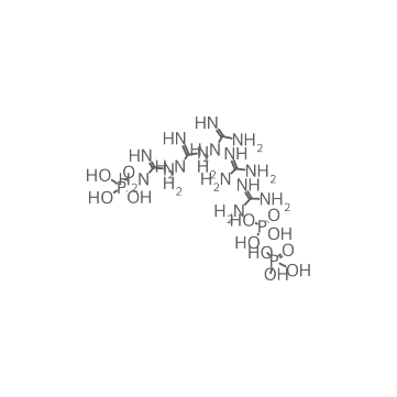 N=C(N)N.N=C(N)N.N=C(N)N.N=C(N)N.N=C(N)N.O=P(O)(O)O.O=P(O)(O)O.O=P(O)(O)O